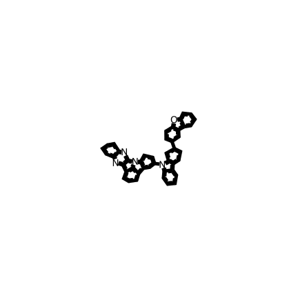 c1ccc2nc3c(nc2c1)c1cccc2c4cc(-n5c6ccccc6c6ccc(-c7ccc8oc9ccccc9c8c7)cc65)ccc4n3c21